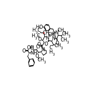 CC[C@H](C)C([C@@H](CC(=O)N1CCC[C@H]1[C@H](OC)[C@@H](C)C(=O)N[C@@H](Cc1ccccc1)C(=O)O)OC)N(C)C(=O)[C@@H](NC(=O)C(C(C)C)N(C)CCc1ccc(O)cc1)C(C)C